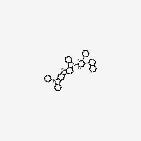 c1ccc(-c2nc(-n3c4ccccc4c4c5sc6cc7c(cc6c5ccc43)c3ccccc3n7-c3ccccc3)ncc2-c2cccc3ccccc23)cc1